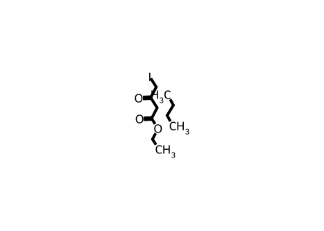 CCCC.CCOC(=O)CC(=O)CI